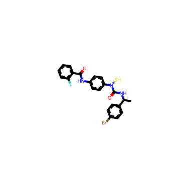 CC(NC(=O)N(S)c1ccc(NC(=O)c2ccccc2F)cc1)c1ccc(Br)cc1